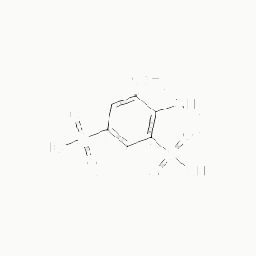 CS(=O)(=O)c1cc(S(=O)(=O)O)ccc1N.[CaH2]